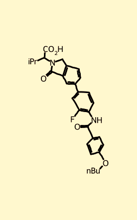 CCCCOc1ccc(C(=O)Nc2ccc(-c3ccc4c(c3)C(=O)N(C(C(=O)O)C(C)C)C4)cc2F)cc1